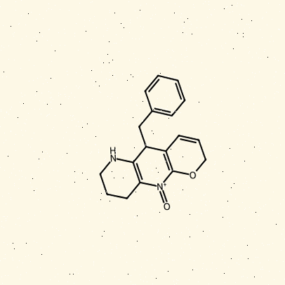 O=[N+]1C2=C(NCCC2)C(Cc2ccccc2)C2=C1OCC=C2